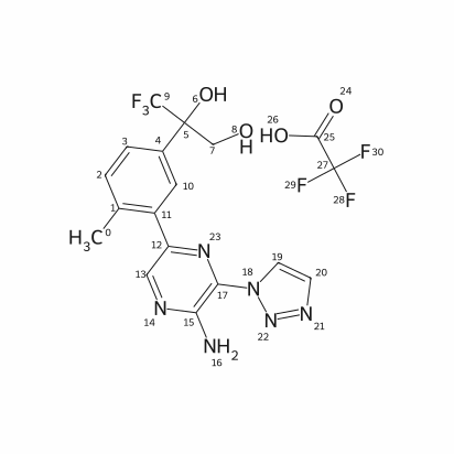 Cc1ccc(C(O)(CO)C(F)(F)F)cc1-c1cnc(N)c(-n2ccnn2)n1.O=C(O)C(F)(F)F